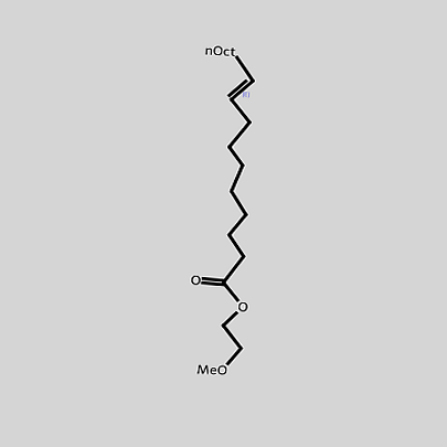 CCCCCCCC/C=C/CCCCCCCC(=O)OCCOC